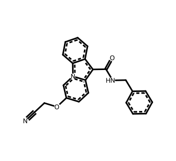 N#CCOc1ccc2c(C(=O)NCc3ccccc3)c3ccccc3n2c1